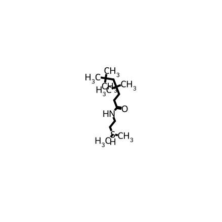 C[SH](C)CCNC(=O)CCC(C)(C)CC(C)(C)C